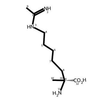 CC(=N)NCCCCC[C@](C)(N)C(=O)O